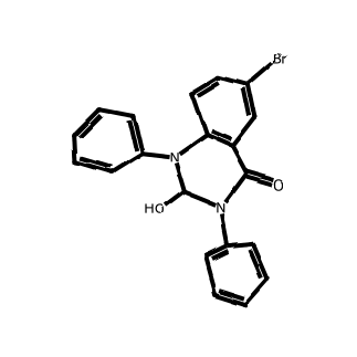 O=C1c2cc(Br)ccc2N(c2ccccc2)C(O)N1c1ccccc1